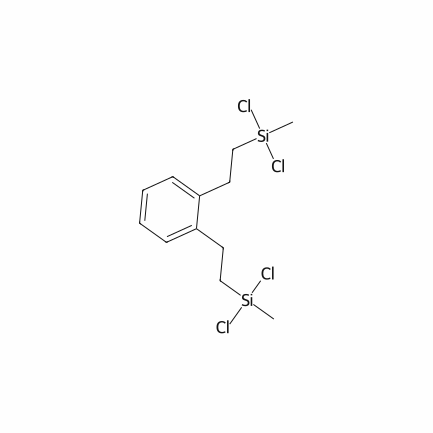 C[Si](Cl)(Cl)CCc1ccccc1CC[Si](C)(Cl)Cl